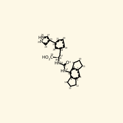 O=C(Nc1c2c(cc3c1CCC3)CCC2)N[C@H](Cc1cccc(-c2cn[nH]c2)c1)C(=O)O